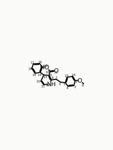 COc1ccc(CCC2=C(C(=O)O)C(c3ccccc3)C=CN2)cc1